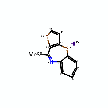 CSC1=Nc2ccccc2Sc2ccsc21.I